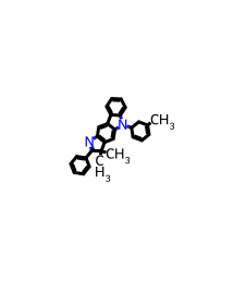 CC1=CC=CC(n2c3ccccc3c3cc4c(cc32)C(C)(C)C(c2ccccc2)=N4)C1